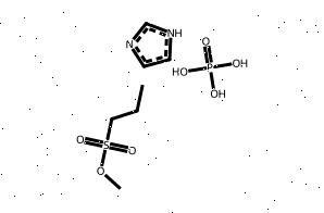 CCCS(=O)(=O)OC.O=P(O)(O)O.c1c[nH]cn1